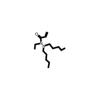 C=CC(=O)N(CC)N(CCCCC)CCCCC